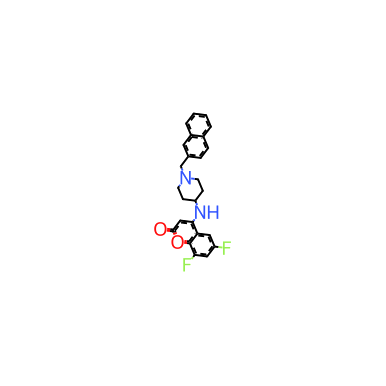 O=c1cc(NC2CCN(Cc3ccc4ccccc4c3)CC2)c2cc(F)cc(F)c2o1